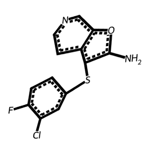 Nc1oc2cnccc2c1Sc1ccc(F)c(Cl)c1